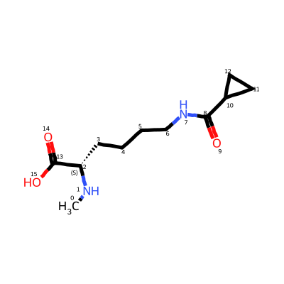 CN[C@@H](CCCCNC(=O)C1CC1)C(=O)O